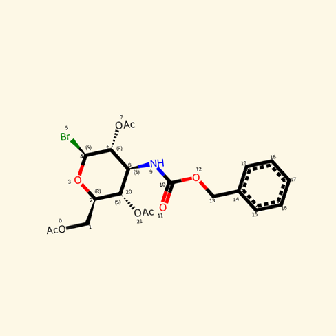 CC(=O)OC[C@H]1O[C@@H](Br)[C@H](OC(C)=O)[C@@H](NC(=O)OCc2ccccc2)[C@@H]1OC(C)=O